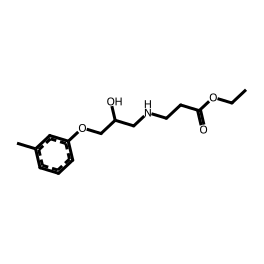 CCOC(=O)CCNCC(O)COc1cccc(C)c1